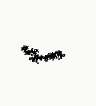 CC(CCn1nc(C2CN(C(=O)OC(C)(C)c3cccc(Cn4cnc(C(N)=O)n4)c3)C2)cc1N(C)C=O)NC(=O)c1ncn(Cc2ccccc2)n1